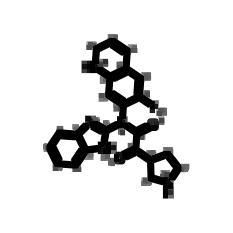 O=C(C(=O)N(c1nc2ccccc2[nH]1)c1cc2c(cc1F)C=CCN2)C1CCNC1